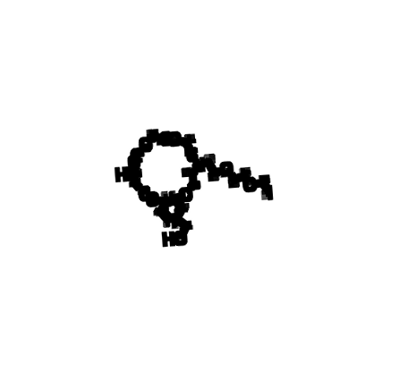 OCc1ccc2c(c1)OCCN(CCOCCOCI)CCOCCOCCNCCO2